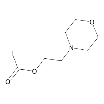 O=C(I)OCCN1CCOCC1